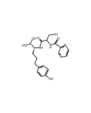 O=C(NC(CO)C(=O)N[C@@H](CCCc1ccc(O)cc1)B(O)O)c1cnccn1